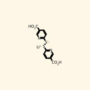 O=C(O)c1ccc(S[S-]c2ccc(C(=O)O)cn2)nc1.[Li+]